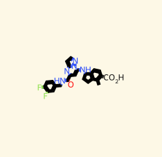 Cc1c(C(=O)O)ccc2c1CCC2Nc1cc(C(=O)NCc2ccc(F)c(F)c2)nc2ccnn12